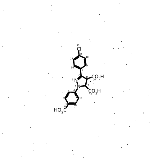 O=C(O)c1ccc(N2N=C(c3ccc(Cl)cc3)C(C(=O)O)C2C(=O)O)cc1